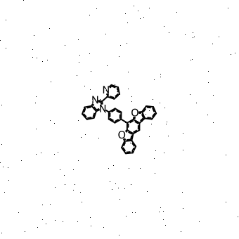 c1ccc(-c2nc3ccccc3n2-c2ccc(-c3c4oc5ccccc5c4cc4c3oc3ccccc34)cc2)nc1